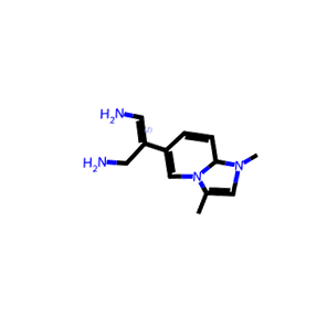 CC1=CN(C)C2C=CC(/C(=C/N)CN)=CN12